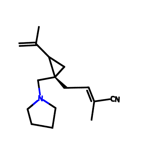 C=C(C)C1C[C@]1(C/C=C(\C)C#N)CN1CCCC1